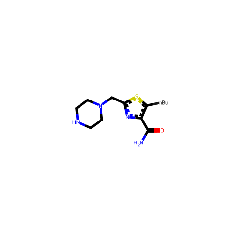 CCCCc1sc(CN2CCNCC2)nc1C(N)=O